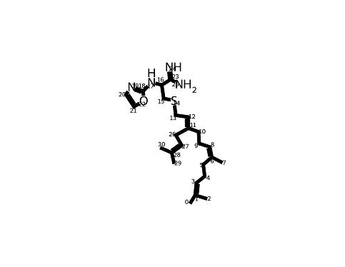 CC(C)=CCCC(C)=CCCC(=CCSCC(Nc1ncco1)C(=N)N)CC=C(C)C